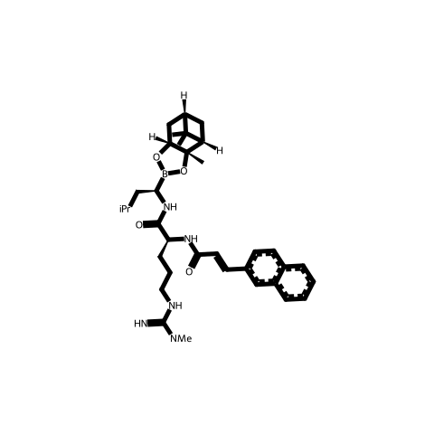 CNC(=N)NCCC[C@H](NC(=O)/C=C/c1ccc2ccccc2c1)C(=O)N[C@@H](CC(C)C)B1O[C@@H]2C[C@@H]3C[C@@H](C3(C)C)[C@]2(C)O1